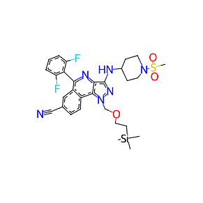 C[Si](C)(C)CCOCn1nc(NC2CCN(S(C)(=O)=O)CC2)c2nc(-c3c(F)cccc3F)c3cc(C#N)ccc3c21